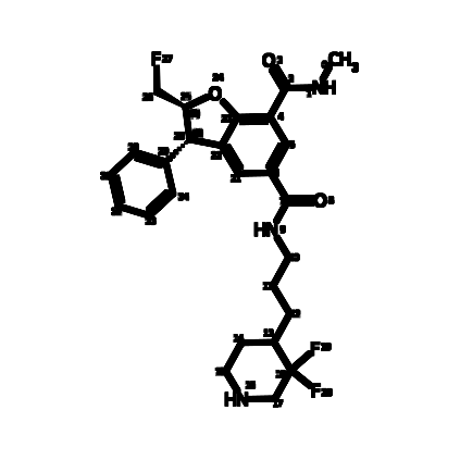 CNC(=O)c1cc(C(=O)NCCCC2CCNCC2(F)F)cc2c1O[C@H](CF)[C@H]2c1ccccc1